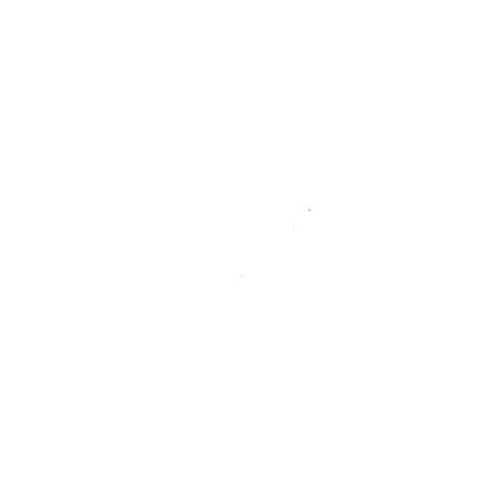 CC1=CC[C]([Hf+]([C]2=C(C)C=CC2)[SiH](C)C)=C1C.CC1=CC[C]([Hf+]([C]2=C(C)C=CC2)[SiH](C)C)=C1C.[Cl-].[Cl-]